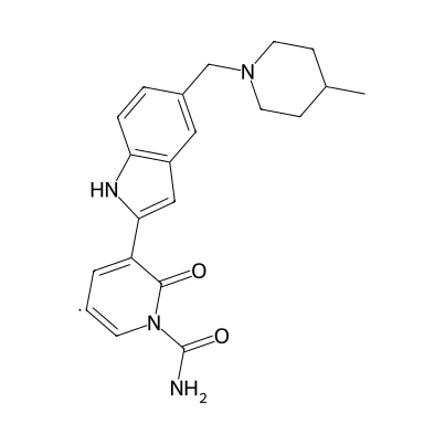 CC1CCN(Cc2ccc3[nH]c(-c4c[c]cn(C(N)=O)c4=O)cc3c2)CC1